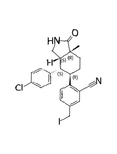 C[C@@]12CC[C@@H](c3ccc(CI)cc3C#N)[C@H](c3ccc(Cl)cc3)[C@@H]1CNC2=O